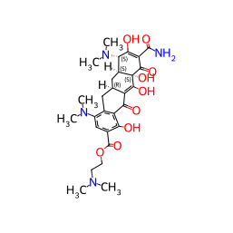 CN(C)CCOC(=O)c1cc(N(C)C)c2c(c1O)C(=O)C1=C(O)[C@]3(O)C(=O)C(C(N)=O)=C(O)[C@@H](N(C)C)[C@@H]3C[C@@H]1C2